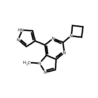 Cn1ncc2nc(N3CCC3)nc(-c3cn[nH]c3)c21